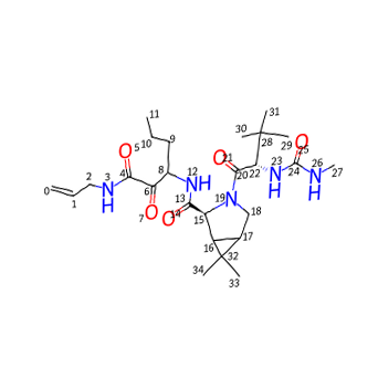 C=CCNC(=O)C(=O)C(CCC)NC(=O)[C@@H]1C2C(CN1C(=O)[C@@H](NC(=O)NC)C(C)(C)C)C2(C)C